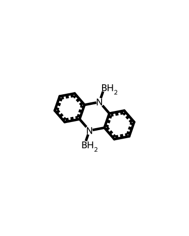 BN1c2ccccc2N(B)c2ccccc21